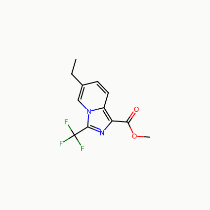 CCc1ccc2c(C(=O)OC)nc(C(F)(F)F)n2c1